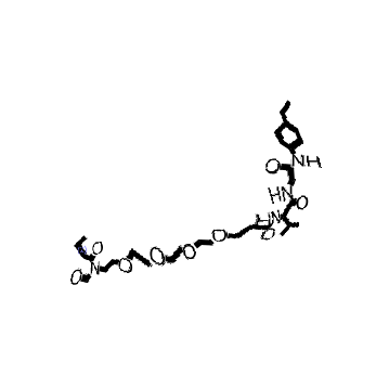 C/C=C\C(=O)N(C=O)CCOCCOCCOCCOCCC(=O)NC(C(=O)NCC(=O)Nc1ccc(CC)cc1)C(C)C